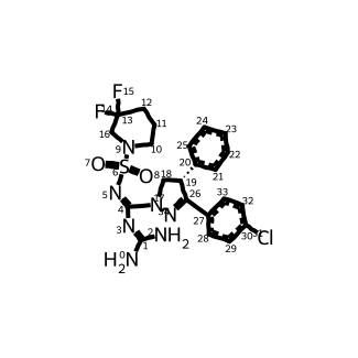 NC(N)=N/C(=N/S(=O)(=O)N1CCCC(F)(F)C1)N1C[C@H](c2ccccc2)C(c2ccc(Cl)cc2)=N1